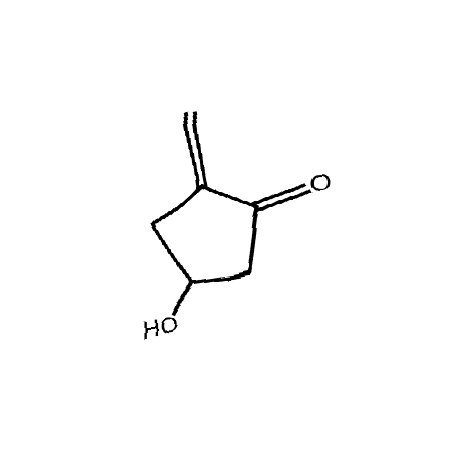 C=C1CC(O)CC1=O